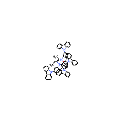 C=C/C(=C(\C)n1c2cc(-n3c4ccccc4c4ccccc43)ccc2c2ccc(-n3c4ccccc4c4ccccc43)cc21)n1c2cc(-n3c4ccccc4c4ccccc43)ccc2c2ccc(-n3c4ccccc4c4ccccc43)cc21